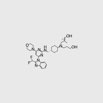 C/C(=C\O)CN(CCCO)[C@H]1CC[C@H](CNc2nc(N3CCOCC3)cc(-n3c(C(F)F)nc4ccccc43)n2)CC1